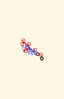 COC(=O)CCC(=O)NCC(CCC(=O)Nc1ccc(Oc2ccccc2)cc1)NC(=O)OC(C)(C)C